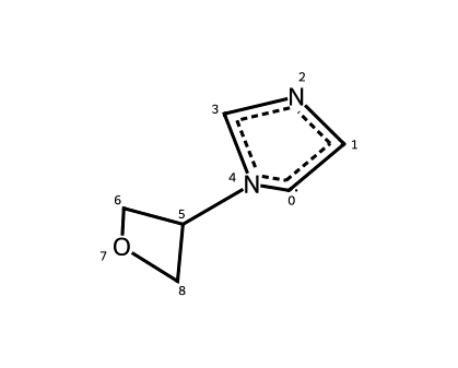 [c]1cncn1C1COC1